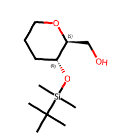 CC(C)(C)[Si](C)(C)O[C@@H]1CCCO[C@H]1CO